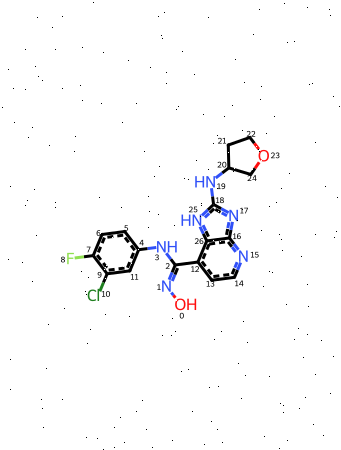 O/N=C(/Nc1ccc(F)c(Cl)c1)c1ccnc2nc(NC3CCOC3)[nH]c12